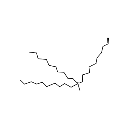 C=CCCCCCCCC[Si](C)(CCCCCCCCCC)CCCCCCCCCC